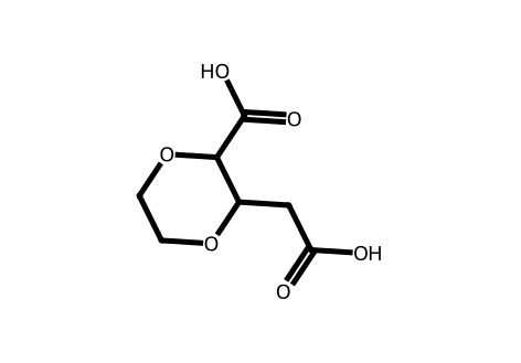 O=C(O)CC1OCCOC1C(=O)O